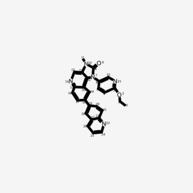 CCOc1ccc(-n2c(=O)n(C)c3cnc4ccc(-c5ccc6ncccc6c5)cc4c32)cn1